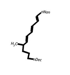 CC[CH]CCCCCCCCCCC(C)C=CC=CC=CCCCCCCCCC